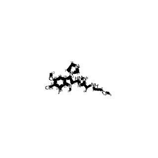 COCCN[C@@H](C)c1n[nH]c(-c2c(-n3ccnc3)c3cc(OC)c(Cl)c(F)c3n2C)n1